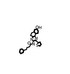 CN(C(=O)CCCc1ccccc1)c1nc2c(nc1-c1cccs1)-c1ccc(O)cc1CC2